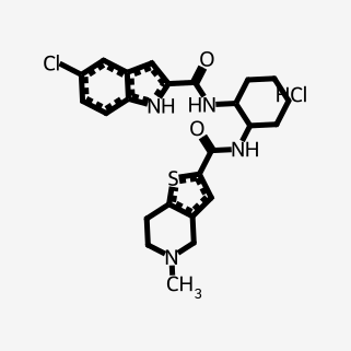 CN1CCc2sc(C(=O)NC3CCCCC3NC(=O)c3cc4cc(Cl)ccc4[nH]3)cc2C1.Cl